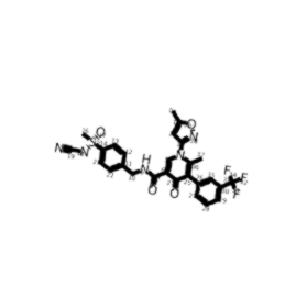 Cc1cc(-n2cc(C(=O)NCc3ccc(S(C)(=O)=NC#N)cc3)c(=O)c(-c3cccc(C(F)(F)F)c3)c2C)no1